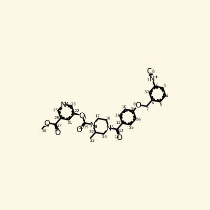 [C-]#[N+]c1cccc(COc2ccc(C(=O)N3CCN(C(=O)Oc4cncc(C(=O)OC)c4)C(C)C3)cc2)c1